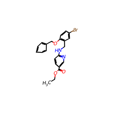 CCOC(=O)c1ccc(NCc2cc(Br)ccc2OCc2ccccc2)nc1